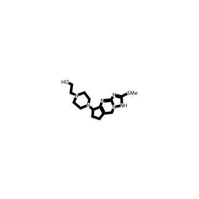 CSC1=NC2=NC3=C(CCC3N3CCN(CCO)CC3)CN2N1